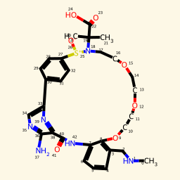 CNCc1cccc2c1OCCOCCOCCN(C(C)(C)C(=O)O)[S+]([O-])c1ccc(cc1)-c1cnc(N)c(n1)C(=O)N2